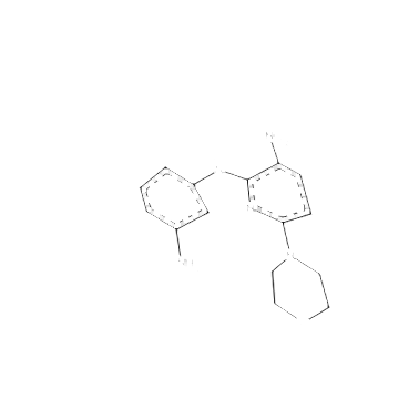 Nc1cccc(Nc2nc(N3CCOCC3)ccc2[N+](=O)[O-])c1